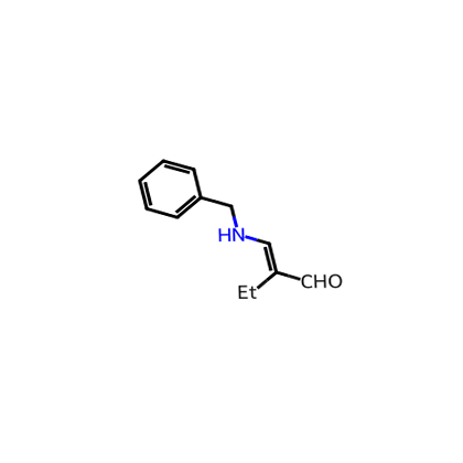 CC/C(C=O)=C\NCc1ccccc1